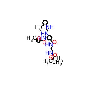 Cc1ccc(C(=O)Nc2cc(C(=O)NCCCNC(=O)OC(C)(C)C)ccc2NCCNc2ccccc2C)o1